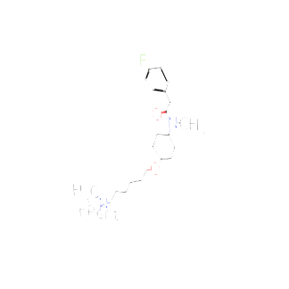 CCCCCN(C)CCCCCCOC1CCC(N(C)C(=O)Cc2ccc(F)cc2)CC1